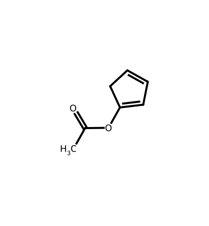 CC(=O)OC1=CC=CC1